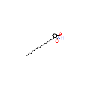 CCCCCCCCCCCCCCCCCCc1cccc2c1C(=O)NC2=O